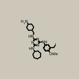 COc1ccc(Nc2nc(NCC3CCC(N)CC3)nc(NC3CCCCCC3)n2)cc1CI